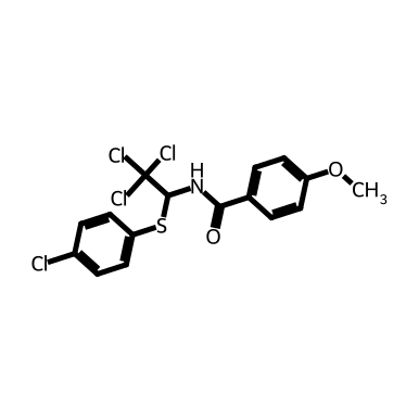 COc1ccc(C(=O)NC(Sc2ccc(Cl)cc2)C(Cl)(Cl)Cl)cc1